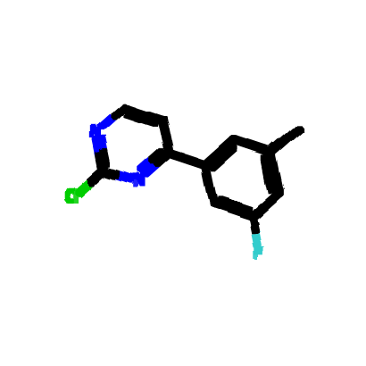 Cc1cc(F)cc(-c2ccnc(Cl)n2)c1